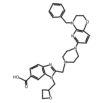 O=C(O)c1ccc2nc(CN3CCN(c4ccc5c(n4)N(Cc4ccccc4)CCO5)CC3)n(CC3CCO3)c2c1